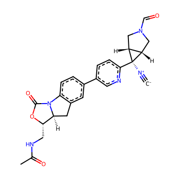 [C-]#[N+][C@]1(c2ccc(-c3ccc4c(c3)C[C@H]3[C@H](CNC(C)=O)OC(=O)N43)cn2)[C@@H]2CN(C=O)C[C@@H]21